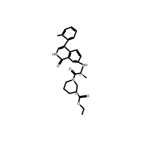 CCOC(=O)[C@H]1CCCN(C(=O)[C@H](C)Nc2ccc3c(-c4ccccc4C)c[nH]c(=O)c3c2)C1